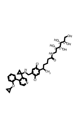 CC(CCCC(=O)NC[C@H](O)[C@@H](O)[C@H](O)[C@H](O)CO)c1cc(Cl)c(CNC2(c3cnccc3-c3ccccc3OC3CC3)CC2)cc1Cl